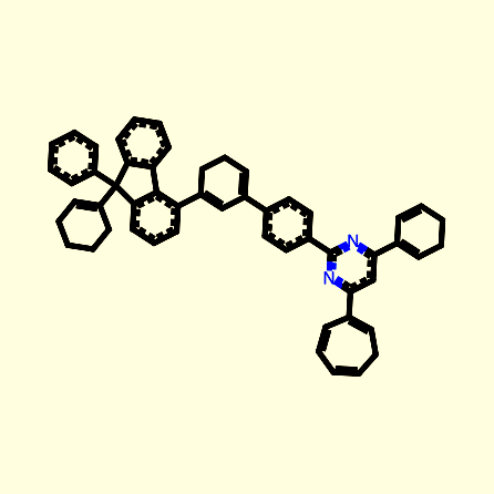 C1=CCC=C(c2cc(C3=CCCC=C3)nc(-c3ccc(C4=CCCC(c5cccc6c5-c5ccccc5C6(C5=CCCCC5)c5ccccc5)=C4)cc3)n2)C=C1